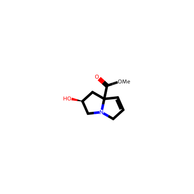 COC(=O)C12C=CCN1C[C@@H](O)C2